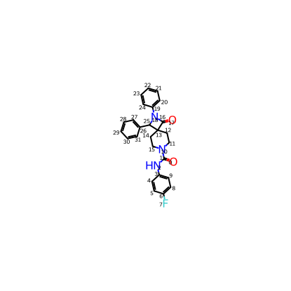 O=C(Nc1ccc(F)cc1)N1CCC2(CC1)C(=O)N(c1ccccc1)C2c1ccccc1